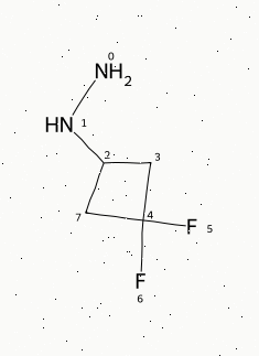 NNC1CC(F)(F)C1